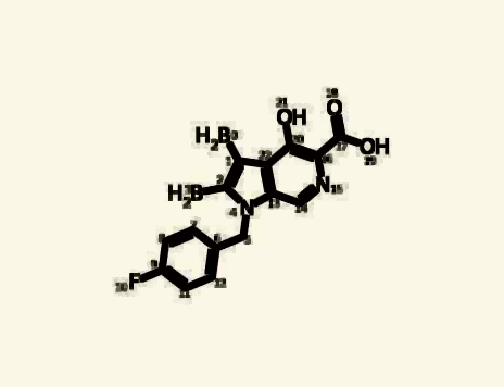 Bc1c(B)n(Cc2ccc(F)cc2)c2cnc(C(=O)O)c(O)c12